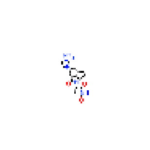 NN1CCN(c2cc3c4c(cccc4c2)N(C2CCC(=O)NC2=O)C3=O)C1